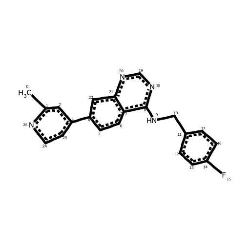 Cc1cc(-c2ccc3c(NCc4ccc(F)cc4)ncnc3c2)ccn1